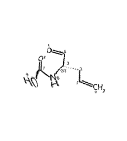 C=CC[C@@H](C=O)NC(=O)O